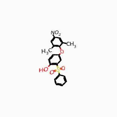 Cc1cc([N+](=O)[O-])cc(C)c1Oc1ccc(O)c(S(=O)(=O)c2ccccc2)c1